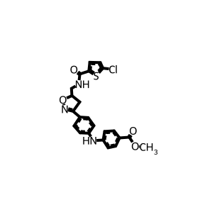 COC(=O)c1ccc(Nc2ccc(C3=NOC(CNC(=O)c4ccc(Cl)s4)C3)cc2)cc1